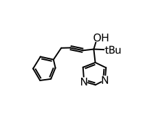 CC(C)(C)C(O)(C#CCc1ccccc1)c1cncnc1